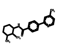 Cc1ccnc(-c2ccc(C(=O)NC3CCCC(C)C3C)cc2)c1